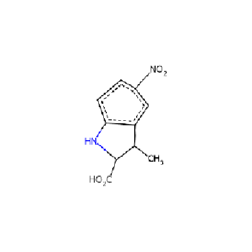 CC1c2cc([N+](=O)[O-])ccc2NC1C(=O)O